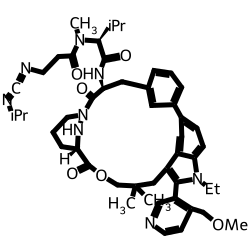 CCn1c(-c2cnccc2COC)c2c3cc(ccc31)-c1cccc(c1)C[C@H](NC(=O)[C@H](C(C)C)N(C)C(=O)CCN=C=NC(C)C)C(=O)N1CCC[C@H](N1)C(=O)OCC(C)(C)C2